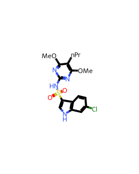 CCCc1c(OC)nc(NS(=O)(=O)c2c[nH]c3cc(Cl)ccc23)nc1OC